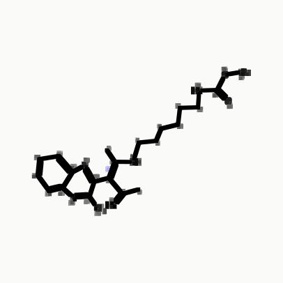 CC(=N)/C(=C(/C)NCCCCCCNC(=O)OC(C)(C)C)c1nc2ccccc2nc1C(F)(F)F